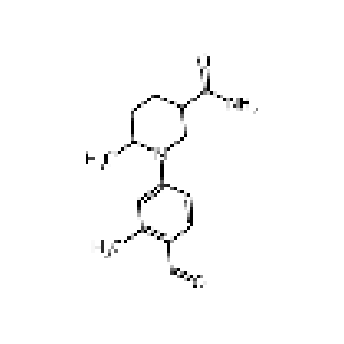 Cc1cc(N2CC(C(N)=O)CCC2C)ccc1C=O